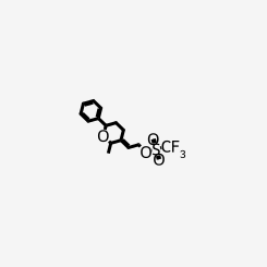 CC1OC(c2ccccc2)CC/C1=C\COS(=O)(=O)C(F)(F)F